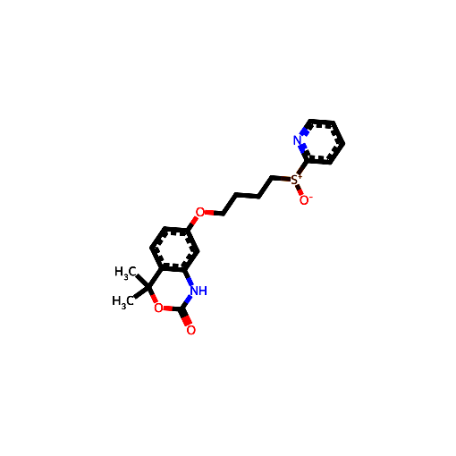 CC1(C)OC(=O)Nc2cc(OCCCC[S+]([O-])c3ccccn3)ccc21